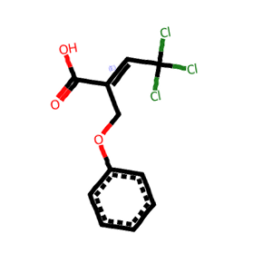 O=C(O)/C(=C/C(Cl)(Cl)Cl)COc1ccccc1